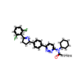 CCCCCCC(=O)N(c1ccc(-c2ccc(C3CCC(c4c(F)cccc4F)=N3)cc2)nn1)C1CCCCC1